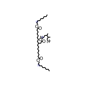 CCCCCC/C=C\COC(=O)CCCCCCCC(CCCCCCCC(=O)OC/C=C\CCCCCC)CC(=O)O/N=C/CC(C)C(C)CN(C)C